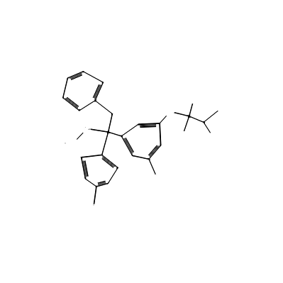 O=CNC(Cc1ccccc1)(c1ccc(F)cc1)c1cc(F)cc(OC(F)(F)C(F)F)c1